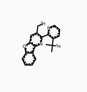 [2H]Cc1cc2oc3ccccc3c2nc1-c1ncccc1C([2H])(C)C